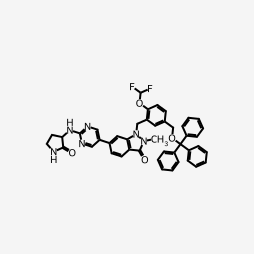 Cn1c(=O)c2ccc(-c3cnc(NC4CCNC4=O)nc3)cc2n1Cc1cc(COC(c2ccccc2)(c2ccccc2)c2ccccc2)ccc1OC(F)F